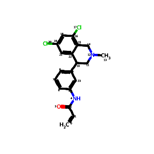 C=CC(=O)Nc1cccc(C2CN(C)Cc3c(Cl)cc(Cl)cc32)c1